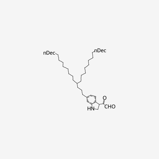 CCCCCCCCCCCCCCCCCCC(CCCCCCCCCCCCCCCCCC)CCCc1ccc2c(c1)NCC2C(=O)C=O